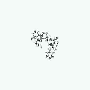 COC(=O)c1c(F)cncc1N1CCC(CNC(=O)C2(NC(=O)Oc3cncnc3)CC2)CC1